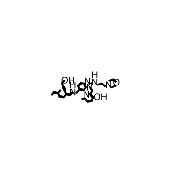 C\C=C(C)/C=C\C(C#CCO)=C\NCc1ccc2nc(NCCCN3CCOCC3)n(Cc3nc(C)ccc3O)c2c1